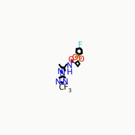 Cc1nn(-c2cnc(C(F)(F)F)nc2)cc1CNC(=O)[C@@H]1CC[C@@H]1S(=O)(=O)c1ccc(F)cc1